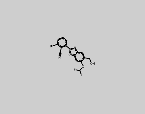 N#Cc1c(Br)cccc1-c1nc2cc(CO)c(OC(F)F)cc2o1